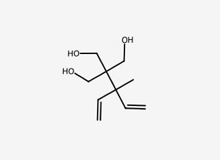 C=CC(C)(C=C)C(CO)(CO)CO